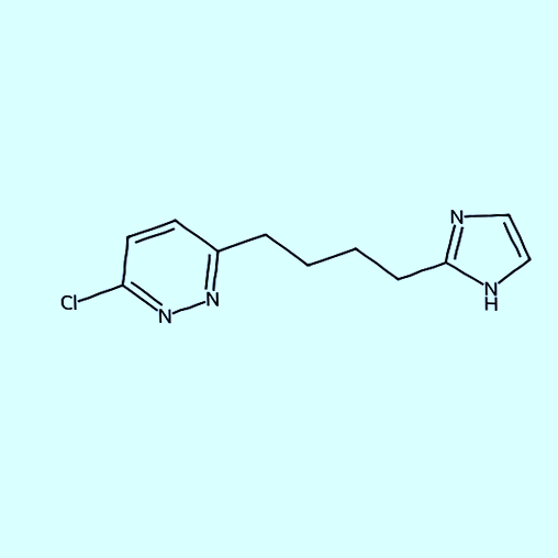 Clc1ccc(CCCCc2ncc[nH]2)nn1